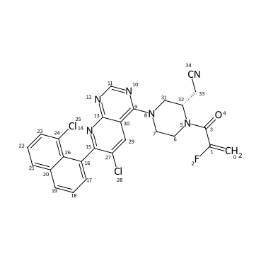 C=C(F)C(=O)N1CCN(c2ncnc3nc(-c4cccc5cccc(Cl)c45)c(Cl)cc23)C[C@@H]1CC#N